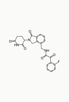 O=C1CCC(N2Cc3c(CNC(=O)C(=O)c4ccccc4F)cccc3C2=O)C(=O)N1